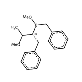 COB(Cc1ccccc1)[C@H](Cc1ccccc1)C(C)OC